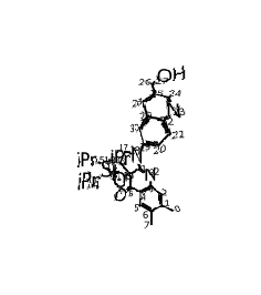 Cc1cc2c(cc1C)C(=O)[C@]1(O[Si](C(C)C)(C(C)C)C(C)C)CCN(c3ccc4ncc(CO)cc4c3)C1=N2